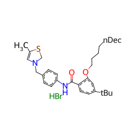 Br.CCCCCCCCCCCCCCOc1cc(C(C)(C)C)ccc1C(=O)Nc1ccc(CN2C=C(C)SC2)cc1